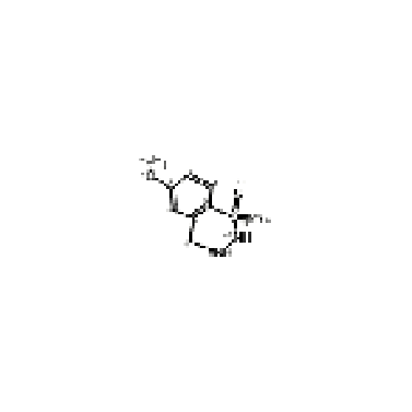 COc1ccc2c(c1)CNNS2(=O)=O